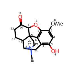 COc1cc(O)c2c3c1OC1C(=O)CCC4C(C2)N(C)CCC314